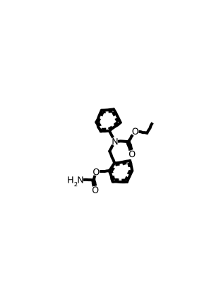 CCOC(=O)N(Cc1ccccc1OC(N)=O)c1ccccc1